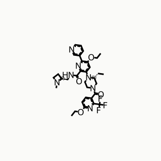 CCOc1ccc(C(=O)N2CCN(c3cc(OCC)c(-c4cccnc4)nc3C(=O)NC[C@@H]3CCN3C)[C@H](CC)C2)c(C(F)(F)F)n1